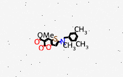 COC(=O)c1cc2sc(N(C)Cc3cc(C)cc(C)c3)cc2oc1=O